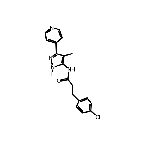 Cc1c(-c2ccncc2)nn(I)c1NC(=O)CCc1ccc(Cl)cc1